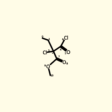 CCC(Cl)(C(=O)Cl)C(=O)OC